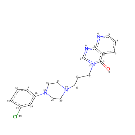 O=c1c2cccnc2ncn1CCCN1CCN(c2cccc(Cl)c2)CC1